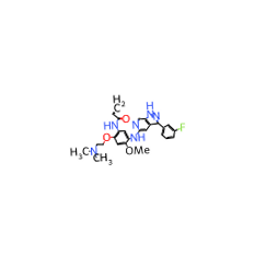 C=CC(=O)Nc1cc(Nc2cc3c(-c4cccc(F)c4)n[nH]c3cn2)c(OC)cc1OCCN(C)C